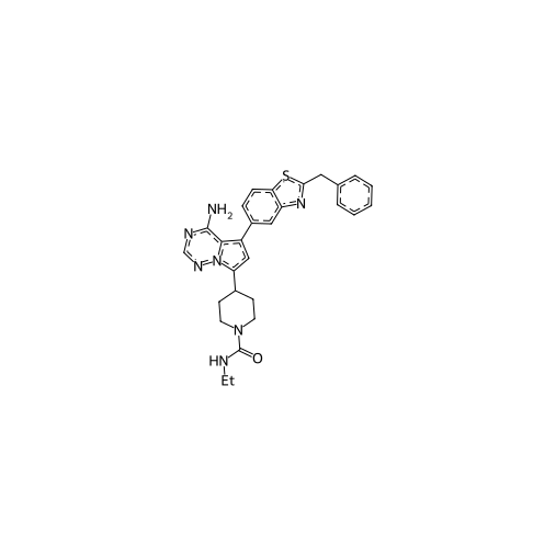 CCNC(=O)N1CCC(c2cc(-c3ccc4sc(Cc5ccccc5)nc4c3)c3c(N)ncnn23)CC1